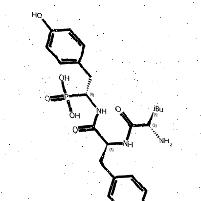 CC[C@H](C)[C@H](N)C(=O)N[C@@H](Cc1ccccc1)C(=O)N[C@@H](Cc1ccc(O)cc1)P(=O)(O)O